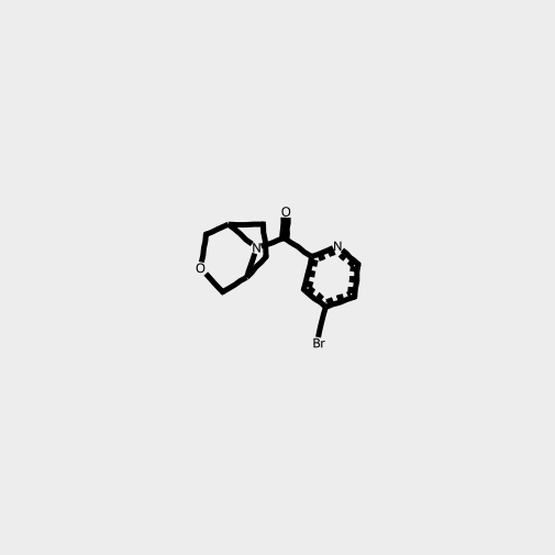 O=C(c1cc(Br)ccn1)N1C2CCC1COC2